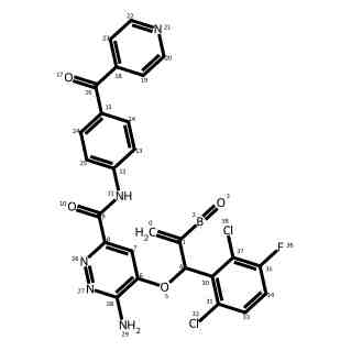 C=C(B=O)C(Oc1cc(C(=O)Nc2ccc(C(=O)c3ccncc3)cc2)nnc1N)c1c(Cl)ccc(F)c1Cl